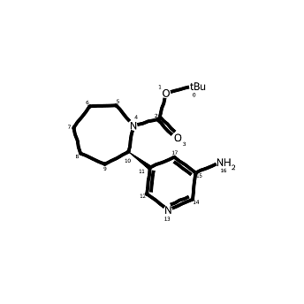 CC(C)(C)OC(=O)N1CCCCC[C@@H]1c1cncc(N)c1